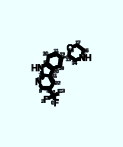 FC(F)(F)c1cnc2[nH]c3ccc([C@H]4CNCCO4)cc3c2c1